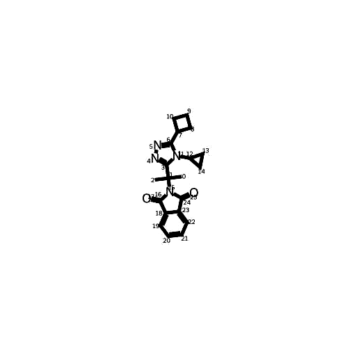 CC(C)(c1nnc(C2CCC2)n1C1CC1)N1C(=O)c2ccccc2C1=O